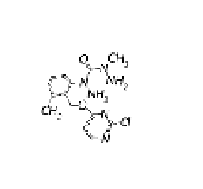 Cc1cccc(N(N)C(=O)N(C)N)c1COc1ccnc(Cl)n1